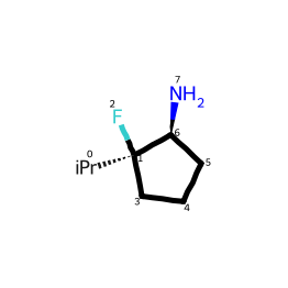 CC(C)[C@@]1(F)CCC[C@@H]1N